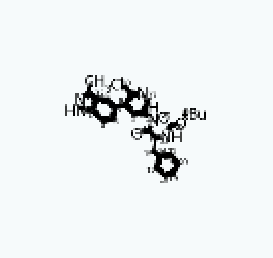 Cc1n[nH]c2ccc(-c3cc(NC(=O)[C@H](Cc4ccccc4)NC(=O)OC(C)(C)C)cnc3Cl)cc12